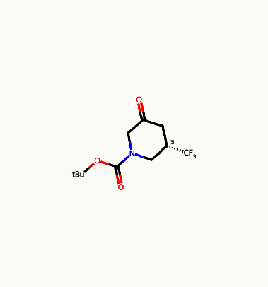 CC(C)(C)OC(=O)N1CC(=O)C[C@H](C(F)(F)F)C1